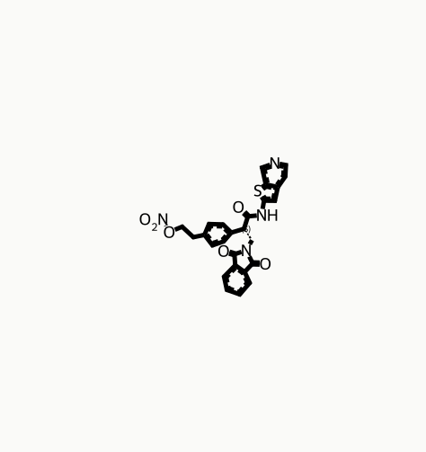 O=C(Nc1cc2ccncc2s1)[C@H](CN1C(=O)c2ccccc2C1=O)c1ccc(CCO[N+](=O)[O-])cc1